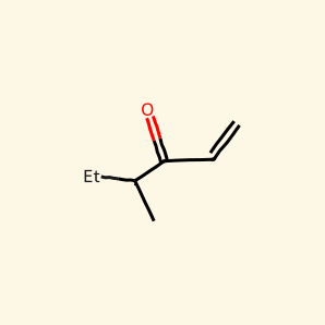 C=CC(=O)[C](C)CC